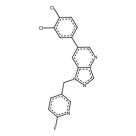 Fc1ccc(Cn2ncc3ncc(-c4ccc(Cl)c(Cl)c4)cc32)cn1